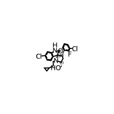 O=C1Nc2cc(Cl)ccc2[C@@]12[C@@H](c1cccc(Cl)c1F)C[C@H](CO)N2CCC1CC1